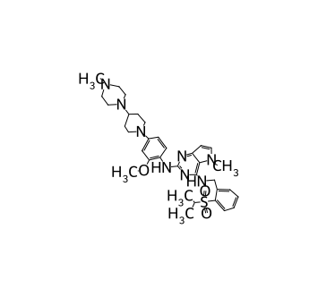 COc1cc(N2CCC(N3CCN(C)CC3)CC2)ccc1Nc1nc(NCc2ccccc2S(=O)(=O)C(C)C)c2c(ccn2C)n1